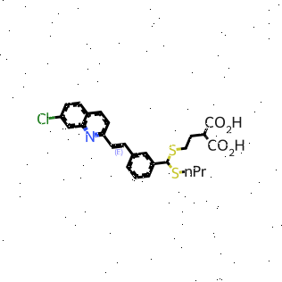 CCCSC(SCCC(C(=O)O)C(=O)O)c1cccc(/C=C/c2ccc3ccc(Cl)cc3n2)c1